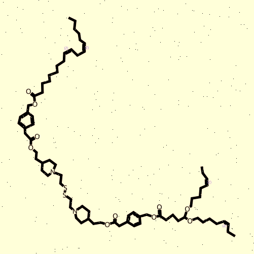 CC/C=C\CCCCOC(CCCC(=O)OCc1ccc(CC(=O)OCCC2CCN(CCSSCCN3CCC(CCOC(=O)Cc4ccc(COC(=O)CCCCCCC/C=C\C/C=C\CCCCC)cc4)CC3)CC2)cc1)OCCCC/C=C\CC